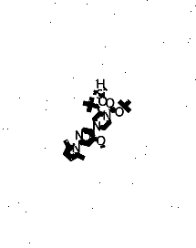 COc1cc(-n2c(C)ccc2C)ncc1N1CCN(C(=O)OC(C)(C)C)[C@H](C(O[SiH](C)C)C(C)(C)C)C1